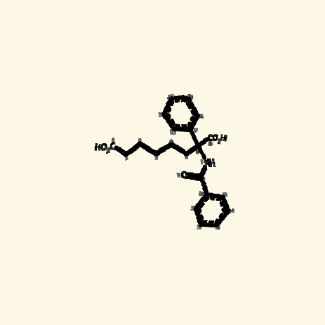 O=C(O)CCCCCC(NC(=O)c1ccccc1)(C(=O)O)c1ccccc1